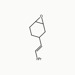 CCC/C=C/C1CCC2OC2C1